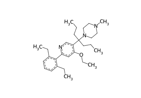 CCCC(CCC)(c1cnc(-c2c(CC)cccc2CC)cc1OCC)N1CCN(C)CC1